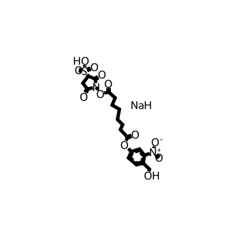 O=C(CCCCCCC(=O)ON1C(=O)CC(S(=O)(=O)O)C1=O)Oc1ccc(CO)c([N+](=O)[O-])c1.[NaH]